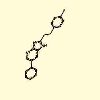 Fc1ccc(CCc2nc3ncc(-c4ccccc4)cc3[nH]2)cc1